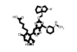 CN[C@@H]1CCCN(c2nc(OC[C@@]34CCCN3C[C@H](F)C4)nc3cc(-c4c(CCCCC(=O)O)c(Cl)cc5[nH]ncc45)nnc23)C1